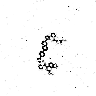 COC(=O)NC(C(=O)N1CCC[C@H]1c1ncc(-c2ccc(-c3ccc4cc(-c5cnc([C@@H]6CCCN6C(=O)[C@@H](NC(=O)OC)C(C)C)[nH]5)ccc4c3)cc2)[nH]1)c1ccc2c(c1)OCO2